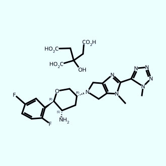 Cn1nnnc1-c1nc2c(n1C)CN([C@H]1CO[C@H](c3cc(F)ccc3F)[C@@H](N)C1)C2.O=C(O)CC(O)(CC(=O)O)C(=O)O